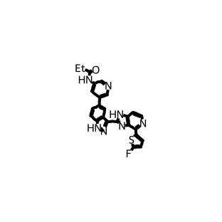 CCC(=O)Nc1cncc(-c2ccc3[nH]nc(-c4nc5c(-c6ccc(F)s6)nccc5[nH]4)c3c2)c1